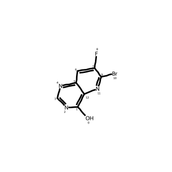 Oc1ncnc2cc(F)c(Br)nc12